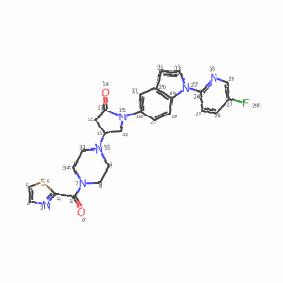 O=C(c1nccs1)N1CCN(C2CC(=O)N(c3ccc4c(ccn4-c4ccc(F)cn4)c3)C2)CC1